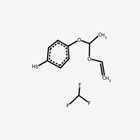 C=COC(C)Oc1ccc(S)cc1.FC(F)F